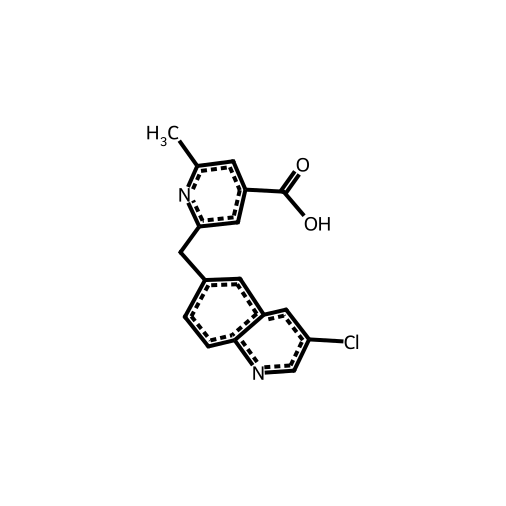 Cc1cc(C(=O)O)cc(Cc2ccc3ncc(Cl)cc3c2)n1